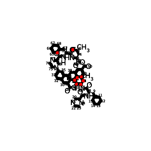 CC(C)C[C@H](NC(=O)[C@H](Cc1ccccc1)NC(=O)c1cnccn1)B1OC(=O)c2cc3ccccc3c(Cc3c4c(cc5ccccc35)C(=O)OB([C@H](CC(C)C)NC(=O)[C@H](Cc3ccccc3)NC(=O)c3cnccn3)O4)c2O1